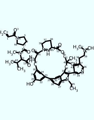 C=CC(=O)N1CC[C@H](C(=O)N(C)C(C(=O)N[C@H]2Cc3cc(O)cc(c3)-c3ccc4c(c3)c(c(-c3cncc(CCN(C)C)c3)n4CC)CC(C)(C)COC(=O)[C@@H]3CCCN(N3)C2=O)C(C)C)C1